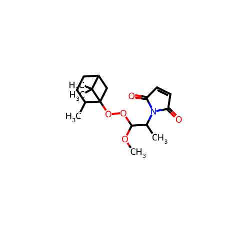 COC(OOC12CC(CCC1C)C2(C)C)C(C)N1C(=O)C=CC1=O